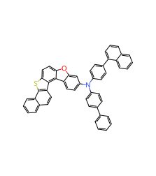 c1ccc(-c2ccc(N(c3ccc(-c4cccc5ccccc45)cc3)c3ccc4c(c3)oc3ccc5sc6c7ccccc7ccc6c5c34)cc2)cc1